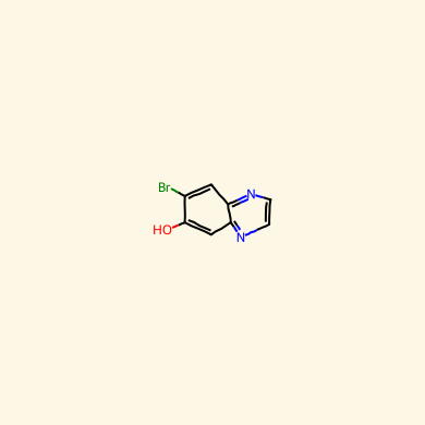 Oc1cc2nccnc2cc1Br